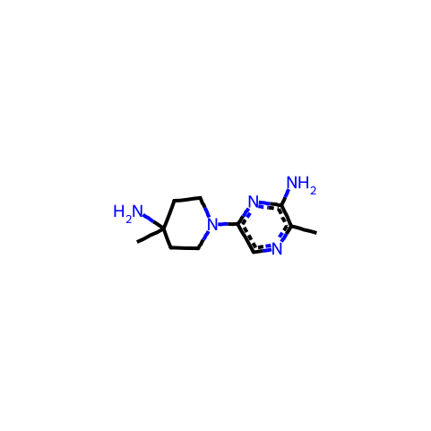 Cc1ncc(N2CCC(C)(N)CC2)nc1N